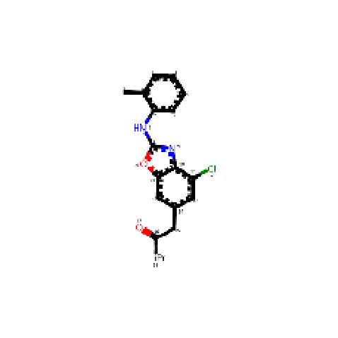 Cc1ccccc1Nc1nc2c(Cl)cc(CC(=O)C(C)C)cc2o1